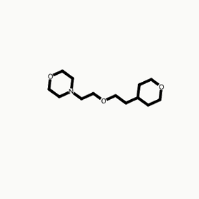 C1CC(CCOCCN2CCOCC2)CCO1